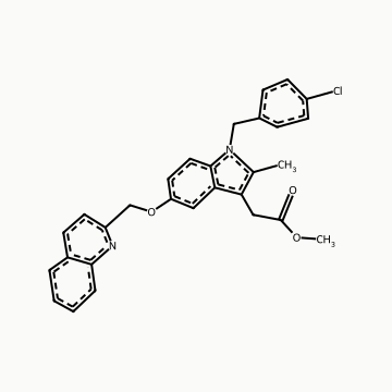 COC(=O)Cc1c(C)n(Cc2ccc(Cl)cc2)c2ccc(OCc3ccc4ccccc4n3)cc12